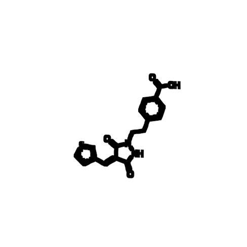 O=C1NN(CCc2ccc(C(=O)O)cc2)C(=O)C1=Cc1ccsc1